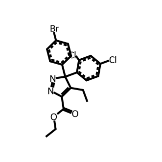 CCOC(=O)C1=C(CC)C(c2ccc(Br)cc2)(c2ccc(Cl)cc2Cl)N=N1